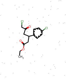 CCOC(=O)CC(CC(=O)CCl)c1ccc(Cl)cc1